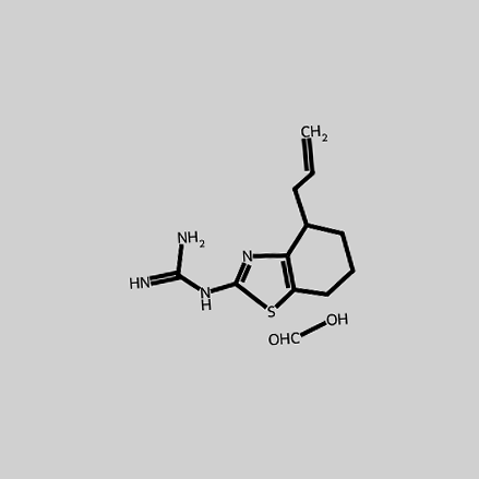 C=CCC1CCCc2sc(NC(=N)N)nc21.O=CO